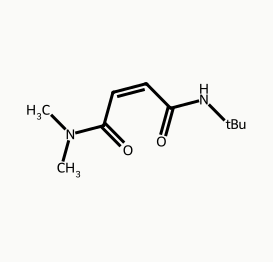 CN(C)C(=O)/C=C\C(=O)NC(C)(C)C